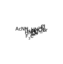 CC(=O)NCCNc1nc(Nc2ccc(Br)c(Cl)c2)ncc1C(F)(F)F